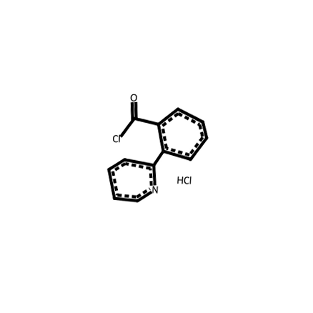 Cl.O=C(Cl)c1ccccc1-c1ccccn1